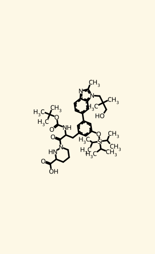 Cc1nc2ccc(-c3cc(CC(NC(=O)OC(C)(C)C)C(=O)N4CCCC(C(=O)O)N4)cc(O[Si](C(C)C)(C(C)C)C(C)C)c3)cc2n1CC(C)(C)CO